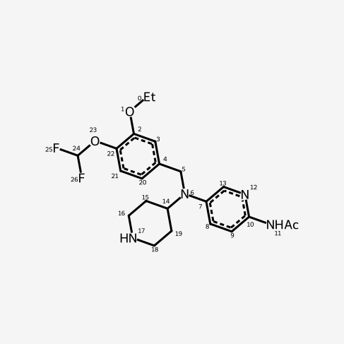 CCOc1cc(CN(c2ccc(NC(C)=O)nc2)C2CCNCC2)ccc1OC(F)F